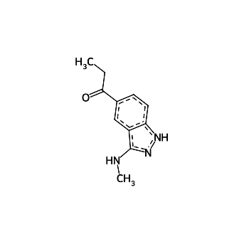 CCC(=O)c1ccc2[nH]nc(NC)c2c1